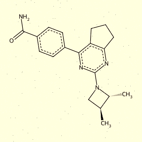 C[C@@H]1[C@@H](C)CN1c1nc2c(c(-c3ccc(C(N)=O)cc3)n1)CCC2